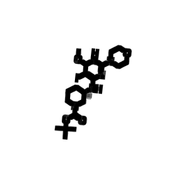 COC1NC(N2CCOCC2)=NC(N[C@@H]2CCCN(C(=O)OC(C)(C)C)C2)=C1I